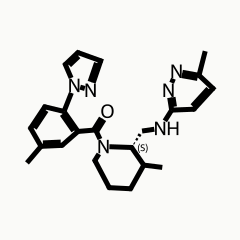 Cc1ccc(-n2cccn2)c(C(=O)N2CCCC(C)[C@H]2CNc2ccc(C)nn2)c1